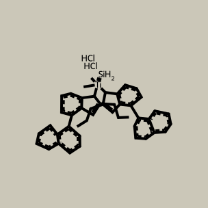 CCCC1=Cc2c(-c3cccc4ccccc34)cccc2[CH]1[Ti]([CH3])([CH3])(=[SiH2])[CH]1C(CCC)=Cc2c(-c3cccc4ccccc34)cccc21.Cl.Cl